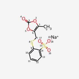 Cc1oc(=O)oc1CSc1ccccc1S(=O)(=O)[O-].[Na+]